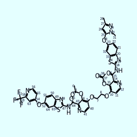 CC(=O)Oc1c(OCCOc2ccnc(C(=O)Nc3nc4ccc(Oc5cc(C)nn5C)cc4s3)c2OC(C)=O)ccnc1C(=O)Nc1nc2ccc(Oc3ccnc(C(F)(F)F)c3)cc2s1